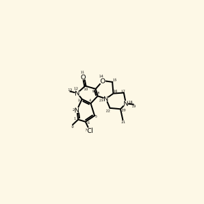 Cc1nc2c(cc1Cl)c1c(c(=O)n2C)OCC2CN(C)C(C)CN12